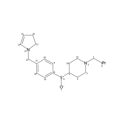 CC(C)CN1CCC([S+]([O-])c2ccc(CN3C=CCC3)cc2)CC1